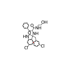 O=C(NCCO)[C@H](Cc1ccccc1)NC1(Cc2cccc(Cl)c2)C(=O)Nc2cc(Cl)ccc21